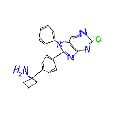 NC1(c2ccc(-c3nc4nc(Cl)ncc4n3-c3ccccc3)cc2)CCC1